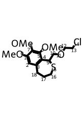 COc1cc2c(c(OC)c1OC)C(COCCCl)SCCC2